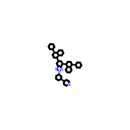 c1ccc(-c2ccc(-c3cc(-c4ccc(-c5ccccc5)c5ccccc45)c4nn(-c5cccc(-c6ccncc6)c5)nc4c3)c3ccccc23)cc1